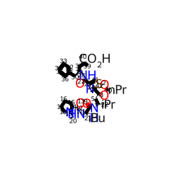 CCCC(=O)O[C@H](C[C@@H](NC(=O)[C@@H](NC(=O)[C@H]1CCCCN1C)[C@@H](C)CC)C(C)C)c1nc(C(=O)N[C@@H](Cc2ccccc2)C[C@H](C)C(=O)O)cs1